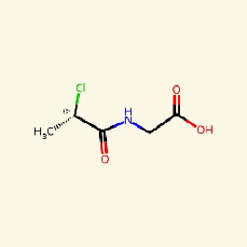 C[C@H](Cl)C(=O)NCC(=O)O